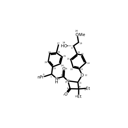 CCCC(NC(=O)N1C(=O)C(CC)(CC)C1Oc1ccc([C@H](O)COC)cc1)c1ccc(C)cc1